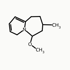 COC1CC(C)CCC2=CC=CCN21